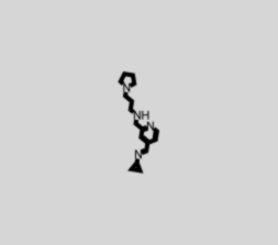 C(=NC1CC1)c1ccnc(CNCCCN2CCCC2)c1